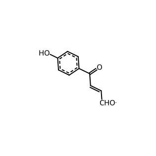 O=[C]C=CC(=O)c1ccc(O)cc1